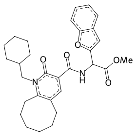 COC(=O)C(NC(=O)c1cc2c(n(CC3CCCCC3)c1=O)CCCCCC2)c1cc2ccccc2o1